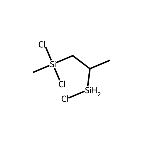 CC(C[Si](C)(Cl)Cl)[SiH2]Cl